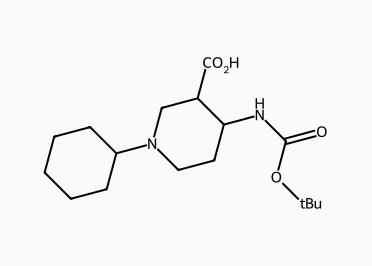 CC(C)(C)OC(=O)NC1CCN(C2CCCCC2)CC1C(=O)O